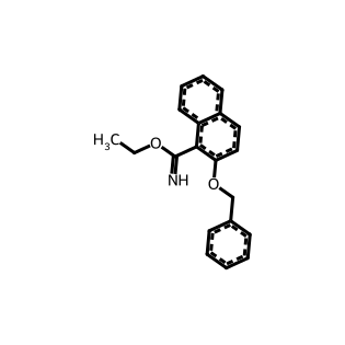 CCOC(=N)c1c(OCc2ccccc2)ccc2ccccc12